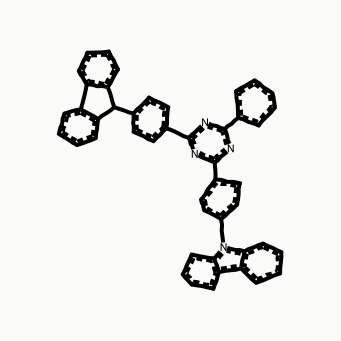 c1ccc(-c2nc(-c3ccc(C4c5ccccc5-c5ccccc54)cc3)nc(-c3ccc(-n4c5ccccc5c5ccccc54)cc3)n2)cc1